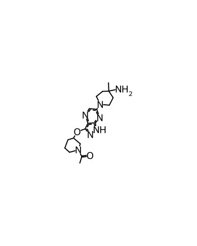 CC(=O)N1CCCC(Oc2n[nH]c3nc(N4CCC(C)(N)CC4)cnc23)C1